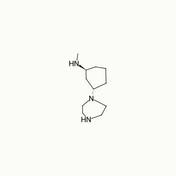 CN[C@H]1CCC[C@H](N2CCNCC2)C1